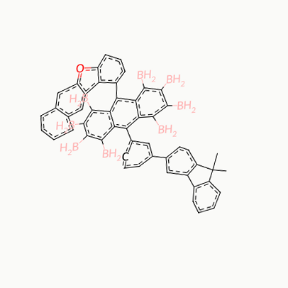 Bc1c(B)c(B)c2c(-c3cccc4oc5cc6ccccc6cc5c34)c3c(B)c(B)c(B)c(B)c3c(-c3cccc(-c4ccc5c(c4)-c4ccccc4C5(C)C)c3)c2c1B